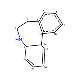 C1=CC2NCCc3ccccc3C2C=C1